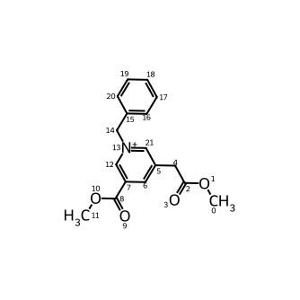 COC(=O)Cc1cc(C(=O)OC)c[n+](Cc2ccccc2)c1